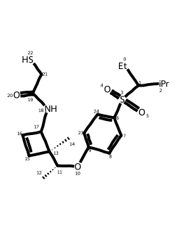 CCC(C(C)C)S(=O)(=O)c1ccc(O[C@H](C)[C@@]2(C)C=CC2NC(=O)CS)cc1